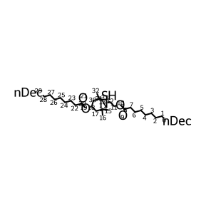 CCCCCCCCCCCCCCCCCC(=O)OCCN1C(C)(C)CC(OC(=O)CCCCCCCCCCCCCCCCC)CC1(C)S